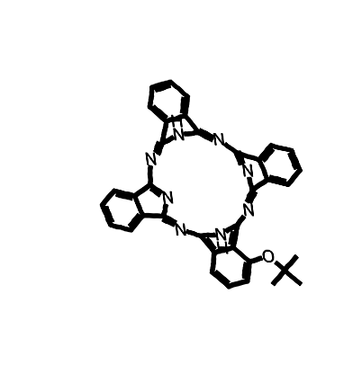 CC(C)(C)Oc1cccc2c3nc4nc(nc5[nH]c(nc6nc(nc([nH]3)c12)-c1ccccc1-6)c1ccccc51)-c1ccccc1-4